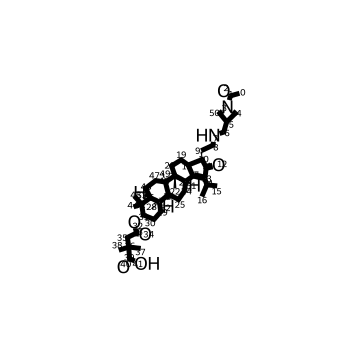 CC(=O)N1CC(CNCC[C@@H]2C(=O)C(C(C)C)=C3C2CC[C@]2(C)[C@@H]3CC[C@@H]3[C@@]4(C)CC[C@H](OC(=O)CC(C)(C)C(=O)O)C(C)(C)[C@@H]4CC[C@]32C)C1